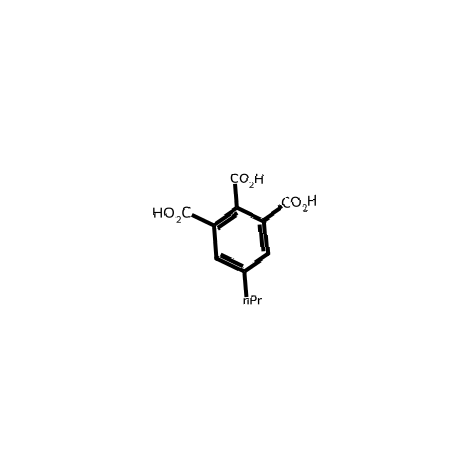 [CH2]CCc1cc(C(=O)O)c(C(=O)O)c(C(=O)O)c1